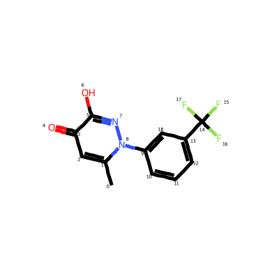 Cc1cc(=O)c(O)nn1-c1cccc(C(F)(F)F)c1